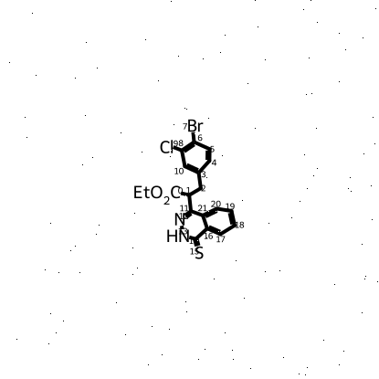 CCOC(=O)C(Cc1ccc(Br)c(Cl)c1)c1n[nH]c(=S)c2ccccc12